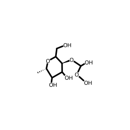 C[C@@H]1OC(CO)[C@@H](OC(O)OO)C(O)C1O